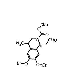 CCOc1cc2c(cc1OCC)[C@@H](CC=O)N(C(=O)OC(C)(C)C)CC2C